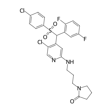 O=C1CCCN1CCCNc1cc(C(c2cc(F)ccc2F)S(=O)(=O)c2ccc(Cl)cc2)c(Cl)cn1